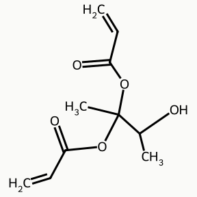 C=CC(=O)OC(C)(OC(=O)C=C)C(C)O